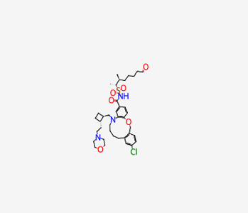 C[C@H]([C@@H](C)CCCCC=O)S(=O)(=O)NC(=O)c1ccc2c(c1)N(C[C@@H]1CC[C@H]1CCN1CCOCC1)CCCCc1cc(Cl)ccc1CO2